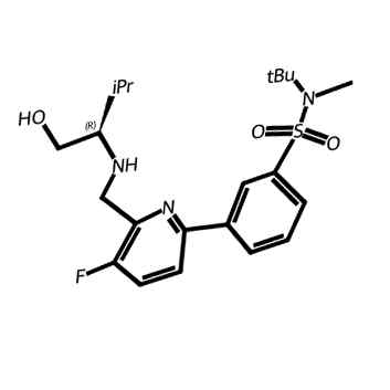 CC(C)[C@H](CO)NCc1nc(-c2cccc(S(=O)(=O)N(C)C(C)(C)C)c2)ccc1F